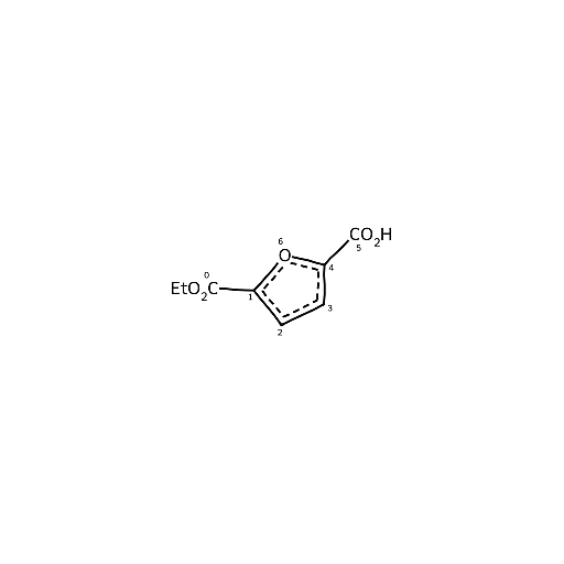 CCOC(=O)c1ccc(C(=O)O)o1